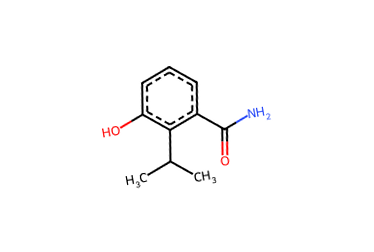 CC(C)c1c(O)cccc1C(N)=O